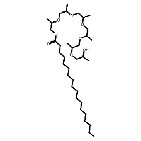 CCCCCCCCCCCCCCCCCC(=O)OCC(C)OCC(C)OCC(C)OCC(C)OCC(C)OCC(C)O